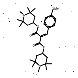 COc1ccc(C=C(C(=O)OC2CC(C)(C)N(C)C(C)(C)C2)C(=O)OC2CC(C)(C)N(C)C(C)(C)C2)cc1